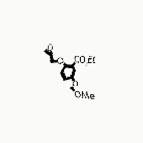 CCOC(=O)c1cc(OCOC)ccc1OCC1CO1